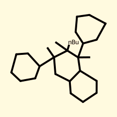 CCCCC1(C)C(C)(C2CCCCC2)CC2CCCCC2C1(C)C1CCCCC1